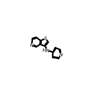 c1cc(Nc2csc3ccncc23)ccn1